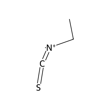 CC[N+]=C=S